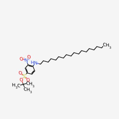 CCCCCCCCCCCCCCCCCCNc1ccc(S(=O)(=O)OC(C)(C)C)cc1[N+](=O)[O-]